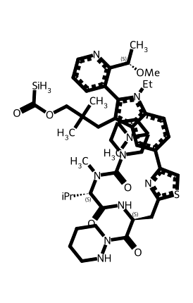 CCn1c(-c2cccnc2[C@H](C)OC)c(CC(C)(C)COC(=O)[SiH3])c2cc(-c3csc(C[C@H](NC(=O)[C@H](C(C)C)N(C)C(=O)N4CC5CC(C4)N5C)C(=O)N4CCCCN4)n3)ccc21